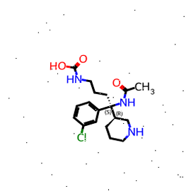 CC(=O)N[C@](CCCNC(=O)O)(c1cccc(Cl)c1)[C@@H]1CCCNC1